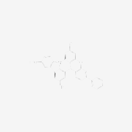 CC(C)c1cc2c3c(c1)-n1c4ccc(C(C)(C)C)cc4c4cc(C(C)(C)C)cc(c41)B3c1ccc(-c3ccccc3)cc1O2